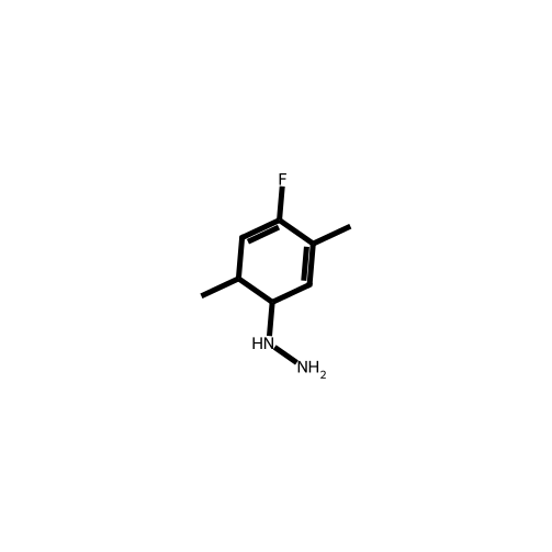 CC1=CC(NN)C(C)C=C1F